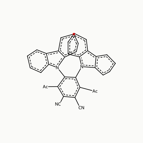 CC(=O)c1c(C#N)c(C#N)c(C(C)=O)c(-n2c3ccccc3c3ccccc32)c1-n1c2ccccc2c2ccccc21